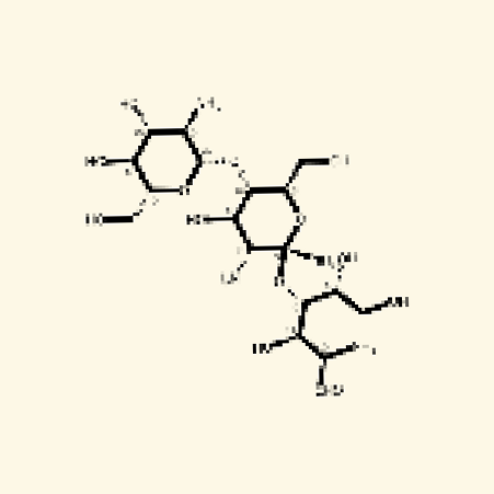 N[C@H]1[C@H](O[C@H]2[C@H](O)[C@@H](N)[C@@](N)(O[C@@H]([C@H](O)[C@@H](N)C=O)[C@H](O)CO)O[C@@H]2CO)O[C@H](CO)[C@@H](O)[C@@H]1O